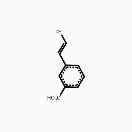 CCC=Cc1cccc(C(=O)O)c1